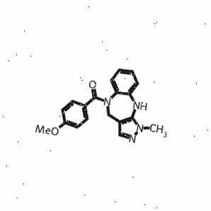 COc1ccc(C(=O)N2Cc3cnn(C)c3Nc3ccccc32)cc1